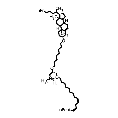 CCCCC/C=C\C/C=C\CCCCCCCCOC[C@H](CN(C)C)OCCCCCCCCO[C@H]1CC[C@@]2(C)C(=CC[C@H]3[C@@H]4CC[C@H]([C@H](C)CCCC(C)C)[C@@]4(C)CC[C@@H]32)C1